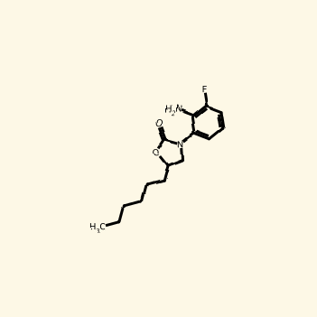 CCCCCCC1CN(c2cccc(F)c2N)C(=O)O1